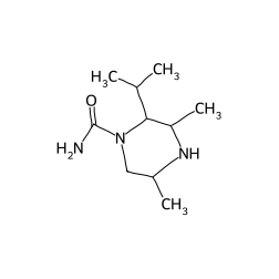 CC1CN(C(N)=O)C(C(C)C)C(C)N1